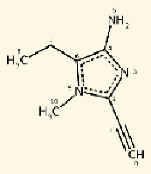 C#Cc1nc(N)c(CC)n1C